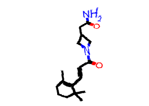 CC1=C(/C=C/C(=O)N2CC(CC(N)=O)C2)C(C)(C)CCC1